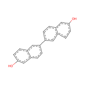 Oc1ccc2cc(-c3ccc4cc(O)ccc4c3)ccc2c1